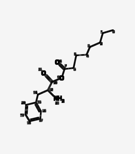 CCCCCCCC(=O)OC(=O)C(N)Cc1ccccc1